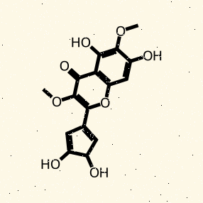 COc1c(O)cc2oc(C3=CC(O)C(O)=C3)c(OC)c(=O)c2c1O